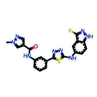 Cn1cc(C(=O)Nc2cccc(-c3nnc(Nc4ccc5[nH]nc(F)c5c4)s3)c2)cn1